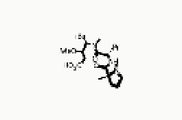 CC[C@H](C)[C@@H]([C@@H](CC(=O)O)OC)N(C)C(=O)[C@@H](NC(=O)[C@@]1(C)CCCN1C)C(C)C